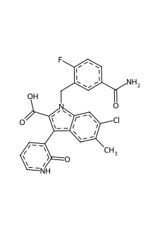 Cc1cc2c(-c3ccc[nH]c3=O)c(C(=O)O)n(Cc3cc(C(N)=O)ccc3F)c2cc1Cl